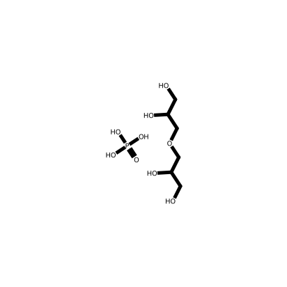 O=P(O)(O)O.OCC(O)COCC(O)CO